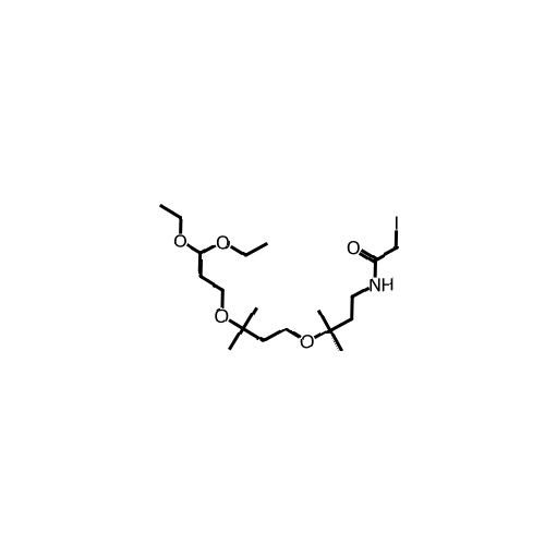 CCOC(CCOC(C)(C)CCOC(C)(C)CCNC(=O)CI)OCC